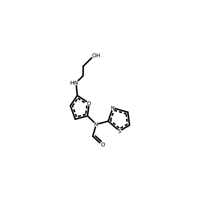 O=CN(c1ccc(NCCO)o1)c1nccs1